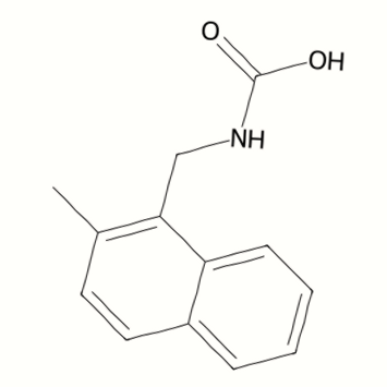 Cc1ccc2ccccc2c1CNC(=O)O